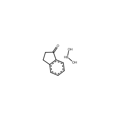 O=C1CCc2ccccc21.OBO